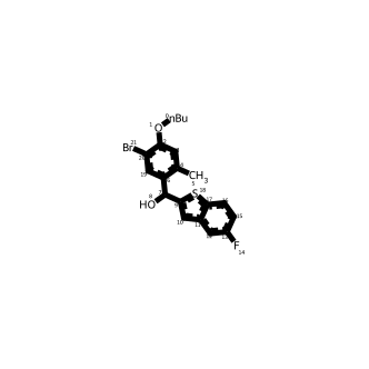 CCCCOc1cc(C)c(C(O)c2cc3cc(F)ccc3s2)cc1Br